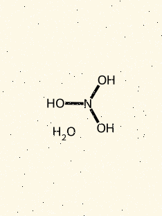 O.ON(O)O